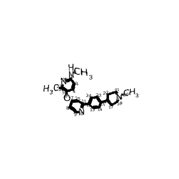 CNc1ccc(Oc2ccnc(-c3ccc(C4CCN(C)CC4)cc3)c2)c(C)n1